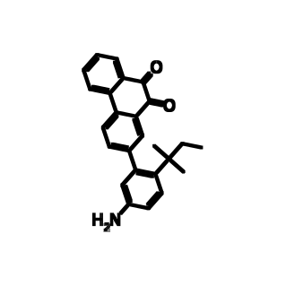 CCC(C)(C)c1ccc(N)cc1-c1ccc2c(c1)C(=O)C(=O)c1ccccc1-2